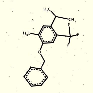 Cc1cc(C(C)C)c(C(F)(F)F)cc1OCc1ccccc1